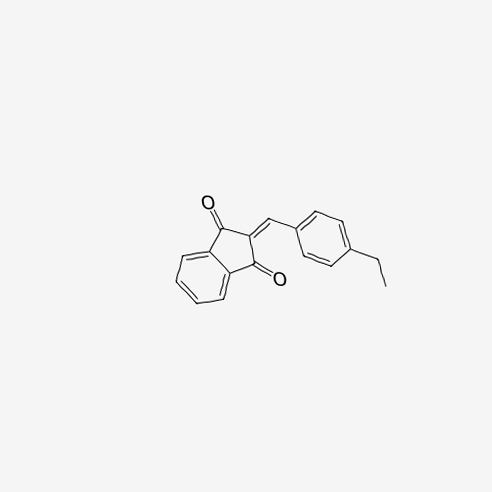 CCc1ccc(C=C2C(=O)c3ccccc3C2=O)cc1